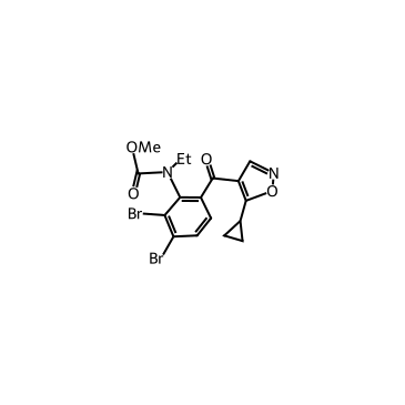 CCN(C(=O)OC)c1c(C(=O)c2cnoc2C2CC2)ccc(Br)c1Br